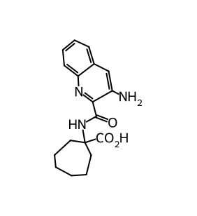 Nc1cc2ccccc2nc1C(=O)NC1(C(=O)O)CCCCCC1